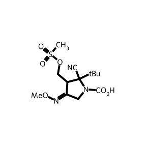 CON=C1CN(C(=O)O)C(C#N)(C(C)(C)C)C1COS(C)(=O)=O